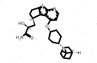 CC1(C)C2C[C@@H]1CN([C@H]1CC[C@H](Oc3ccnc4sc5c(c34)[C@@H](C[C@H](O)C(N)=O)CC5)CC1)C2